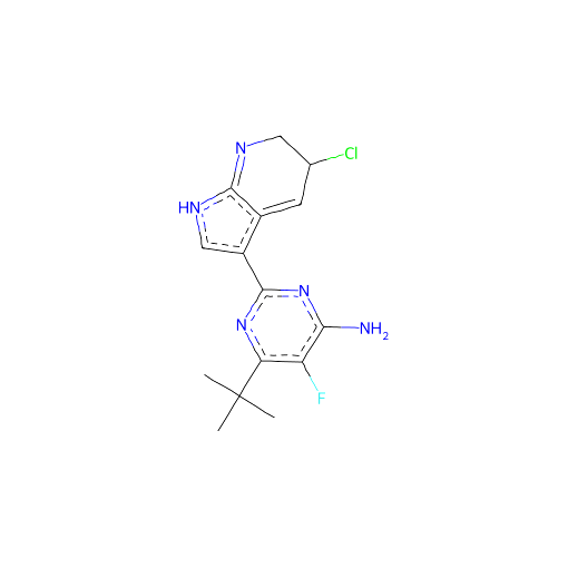 CC(C)(C)c1nc(-c2c[nH]c3c2=CC(Cl)CN=3)nc(N)c1F